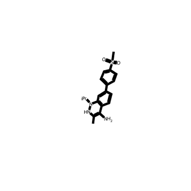 CC1=C(N)c2ccc(-c3ccc(S(C)(=O)=O)cc3)cc2N(C(C)C)N1